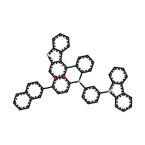 c1cc(N(c2ccc(-c3ccc4ccccc4c3)cc2)c2ccccc2-c2cccc3sc4ccccc4c23)cc(-n2c3ccccc3c3ccccc32)c1